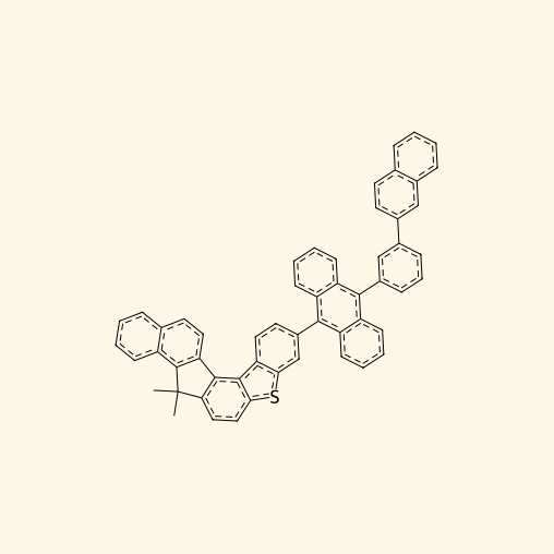 CC1(C)c2ccc3sc4cc(-c5c6ccccc6c(-c6cccc(-c7ccc8ccccc8c7)c6)c6ccccc56)ccc4c3c2-c2ccc3ccccc3c21